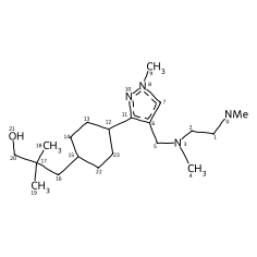 CNCCN(C)Cc1cn(C)nc1C1CCC(CC(C)(C)CO)CC1